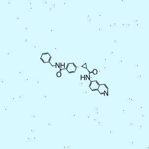 O=C(NCc1ccccc1)c1ccc([C@@H]2C[C@H]2C(=O)Nc2ccc3cnccc3c2)cc1